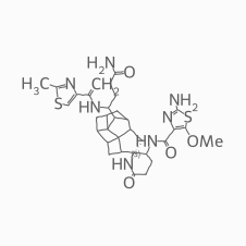 C=C(NC(CCC(N)=O)C1C2CC3CC4C5CC6C5(C2C[C@]62NC(=O)CCC2NC(=O)c2nc(N)sc2OC)C341)c1csc(C)n1